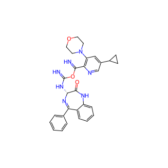 N=C(N[C@H]1N=C(c2ccccc2)c2ccccc2NC1=O)OC(=N)c1ncc(C2CC2)cc1N1CCOCC1